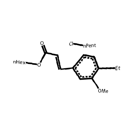 CCCCCCOC(=O)C=Cc1ccc(CC)c(OC)c1.CCCCCCl